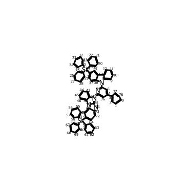 c1ccc(-c2cc(-n3c4ccccc4c4cc([Si](c5ccccc5)(c5ccccc5)c5ccccc5)ccc43)nc(-n3c4ccccc4n4c5cc([Si](c6ccccc6)(c6ccccc6)c6ccccc6)ccc5nc34)c2)cc1